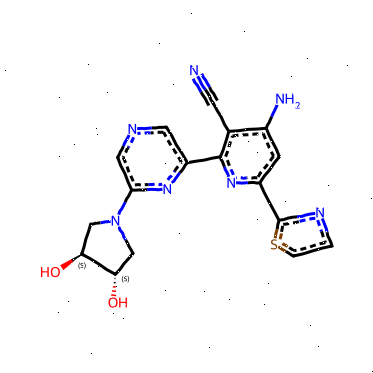 N#Cc1c(N)cc(-c2nccs2)nc1-c1cncc(N2C[C@H](O)[C@@H](O)C2)n1